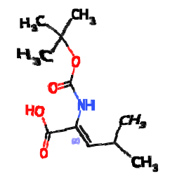 CC(C)/C=C(\NC(=O)OC(C)(C)C)C(=O)O